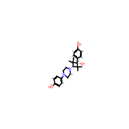 CC1(C)[C@H](N2CCN(c3ccc(O)cc3)CC2)C(C)(C)[C@@]1(O)c1ccc(O)cc1